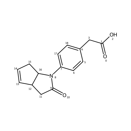 O=C(O)Cc1ccc(N2C(=O)CC3C=CCC32)cc1